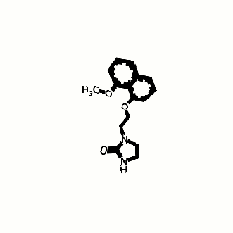 COc1cccc2cccc(OCCN3CCNC3=O)c12